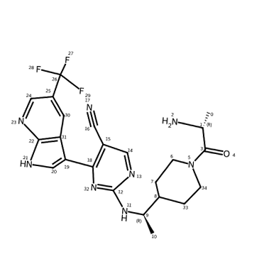 C[C@@H](N)C(=O)N1CCC([C@@H](C)Nc2ncc(C#N)c(-c3c[nH]c4ncc(C(F)(F)F)cc34)n2)CC1